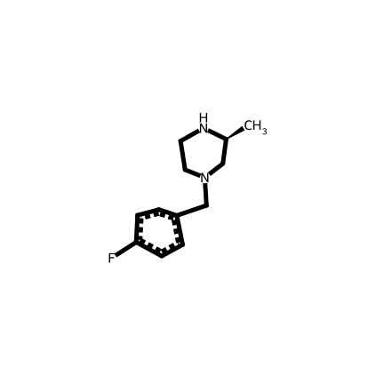 C[C@H]1CN(Cc2ccc(F)cc2)CCN1